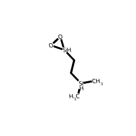 C[SiH](C)CC[SiH]1OO1